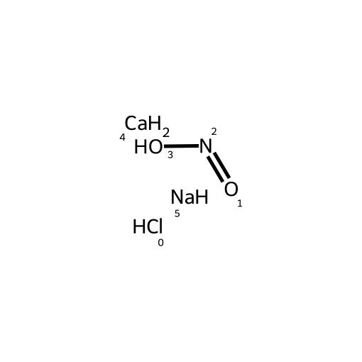 Cl.O=NO.[CaH2].[NaH]